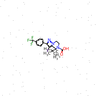 CC(C)(C)C1(C)c2c(I)c(-c3ccc(C(F)(F)F)cc3)nn2CCN1C(=O)O